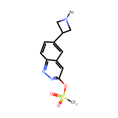 CC(=O)N1CC(c2ccc3nnc(OS(=O)(=O)C(F)(F)F)cc3c2)C1